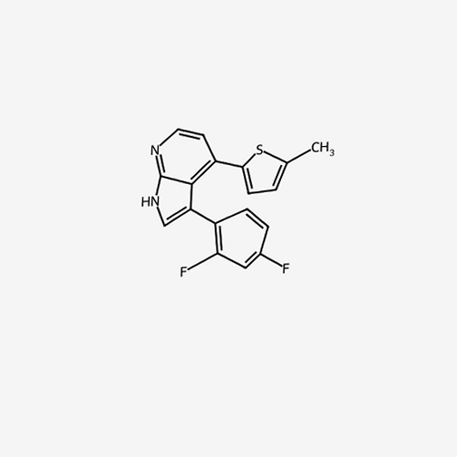 Cc1ccc(-c2ccnc3[nH]cc(-c4ccc(F)cc4F)c23)s1